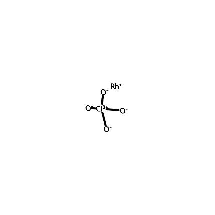 [O-][Cl+3]([O-])([O-])[O-].[Rh+]